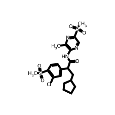 Cc1nc(S(C)(=O)=O)cnc1NC(=O)C(CC1CCCC1)c1ccc(S(C)(=O)=O)c(Cl)c1